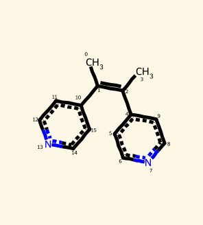 CC(=C(C)c1ccncc1)c1ccncc1